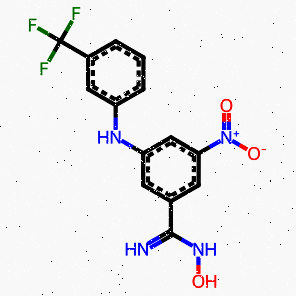 N=C(NO)c1cc(Nc2cccc(C(F)(F)F)c2)cc([N+](=O)[O-])c1